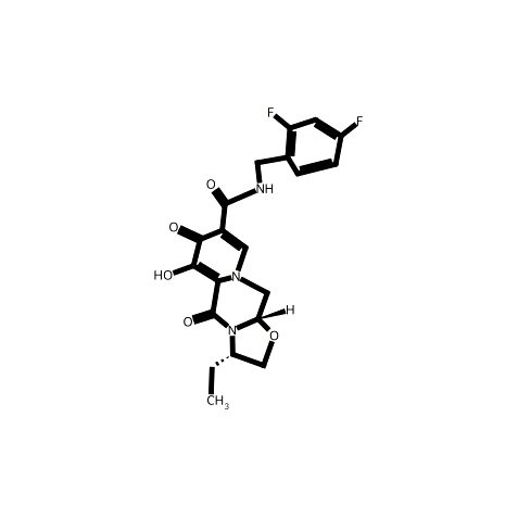 CC[C@H]1CO[C@H]2Cn3cc(C(=O)NCc4ccc(F)cc4F)c(=O)c(O)c3C(=O)N12